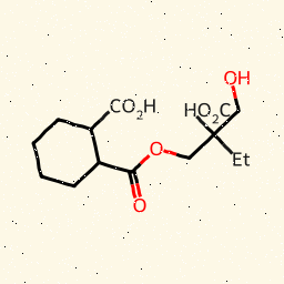 CCC(CO)(COC(=O)C1CCCCC1C(=O)O)C(=O)O